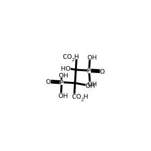 O=C(O)C(O)(C(O)(C(=O)O)P(=O)(O)O)P(=O)(O)O